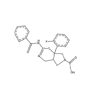 O=C(NC1=NCC2CN(C(=O)O)CC2(c2ccccc2F)S1)c1ccccc1